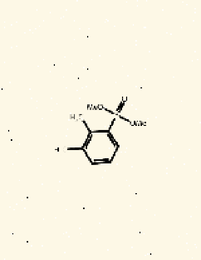 COP(=O)(OC)c1cccc(C)c1C